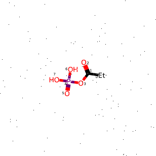 C[CH]C(=O)OP(=O)(O)O